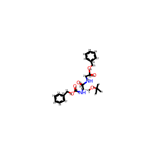 CC(C)(C)OC[C@H](NC(=O)OCc1ccccc1)C(=O)NCC(=O)OCc1ccccc1